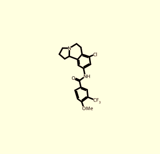 COc1ccc(C(=O)Nc2cc(Cl)c3c(c2)C2CCCN2CC3)cc1C(F)(F)F